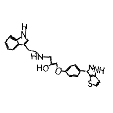 OC(CNCCc1c[nH]c2ccccc12)COc1ccc(-c2n[nH]c3ccsc23)cc1